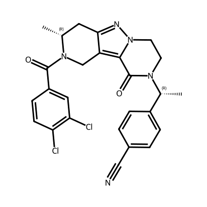 C[C@@H]1Cc2nn3c(c2CN1C(=O)c1ccc(Cl)c(Cl)c1)C(=O)N([C@H](C)c1ccc(C#N)cc1)CC3